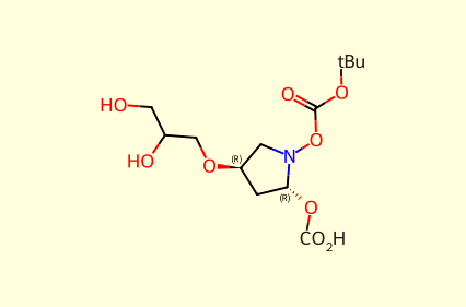 CC(C)(C)OC(=O)ON1C[C@H](OCC(O)CO)C[C@H]1OC(=O)O